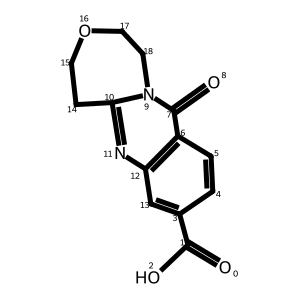 O=C(O)c1ccc2c(=O)n3c(nc2c1)CCOCC3